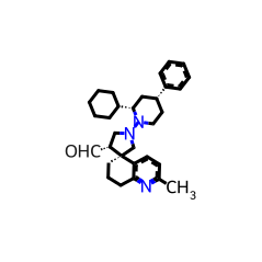 Cc1ccc2c(n1)CCC[C@]21CN(N2CC[C@@H](c3ccccc3)C[C@H]2C2CCCCC2)C[C@H]1C=O